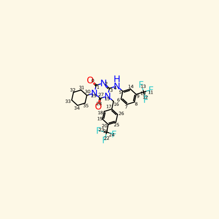 O=c1nc(Nc2cccc(C(F)(F)F)c2)n(Cc2ccc(C(F)(F)F)cc2)c(=O)n1C1CCCCC1